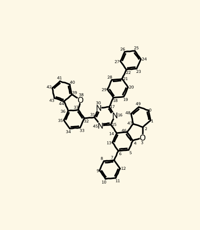 C1=CC2Oc3cc(-c4ccccc4)cc(-c4nc(-c5ccc(-c6ccccc6)cc5)nc(-c5cccc6c5oc5ccccc56)n4)c3C2C=C1